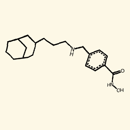 O=C(NO)c1ccc(CNCCCC2CC3CCCC(C2)C3)cc1